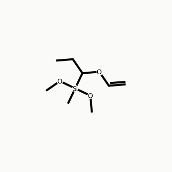 C=COC(CC)[Si](C)(OC)OC